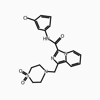 O=C(Nc1cccc(Cl)c1)c1nc(CN2CCS(=O)(=O)CC2)c2ccccn12